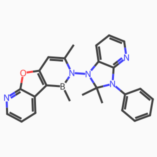 CB1c2c(oc3ncccc23)C=C(C)N1N1c2cccnc2N(c2ccccc2)C1(C)C